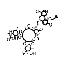 CC[C@H]1OC(=O)[C@H](C)[C@@H](O[C@H]2C[C@@](C)(OC)[C@@H](O)[C@H](C)O2)[C@H](C)[C@@H](O[C@@H]2O[C@H](C)C[C@H]3[C@H]2OC(=O)N3C)[C@](C)(OC)C[C@@H](C)C(=O)[C@H](C)[C@H]2[C@H](SCCN(Cc3c(Cl)cncc3Cl)c3ccc(OC)c(OCC4CC4)c3)C(=O)O[C@@]21C